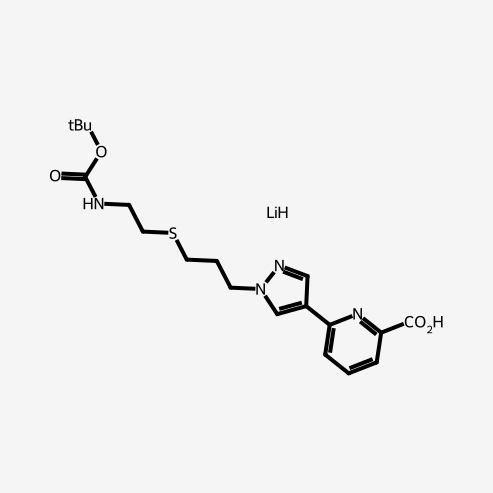 CC(C)(C)OC(=O)NCCSCCCn1cc(-c2cccc(C(=O)O)n2)cn1.[LiH]